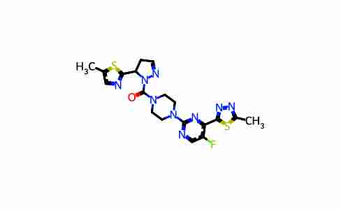 Cc1cnc(C2CC=NN2C(=O)N2CCN(c3ncc(F)c(-c4nnc(C)s4)n3)CC2)s1